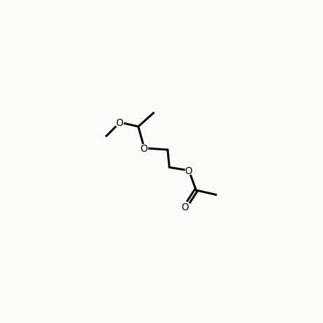 COC(C)OCCOC(C)=O